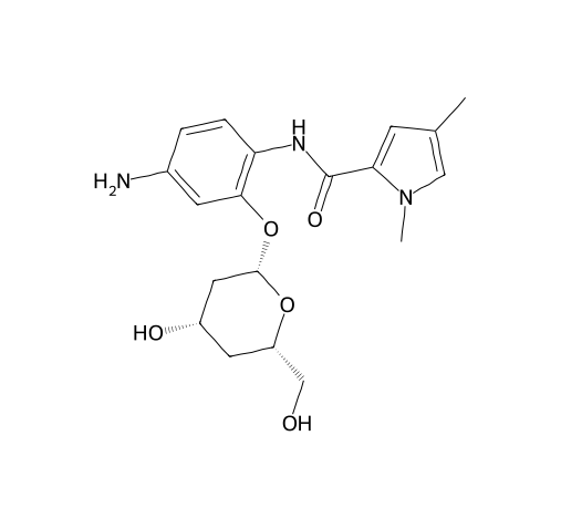 Cc1cc(C(=O)Nc2ccc(N)cc2O[C@H]2C[C@@H](O)C[C@@H](CO)O2)n(C)c1